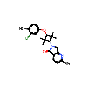 CC(C)c1ccc2c(n1)CN([C@H]1C(C)(C)[C@H](Oc3ccc(C#N)c(Cl)c3)C1(C)C)C2=O